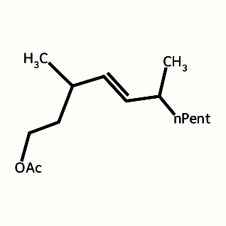 CCCCCC(C)C=CC(C)CCOC(C)=O